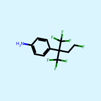 Nc1ccc(C(CCF)(C(F)(F)F)C(F)(F)F)cc1